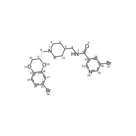 O=C(NCC1CCN(C[C@H]2COc3ccc(Br)cc3O2)CC1)c1cncc(Br)c1